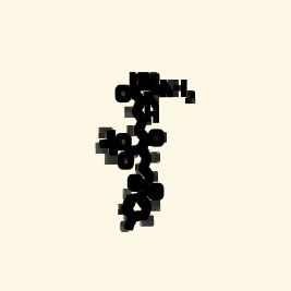 Cc1ccc(S(=O)(=O)CCCC(C(=O)CCCC(NC(=N)N)C(=O)O)C(=O)OC(C)(C)C)cc1